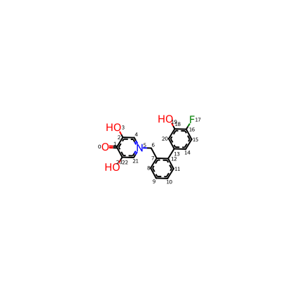 O=c1c(O)cn(Cc2ccccc2-c2ccc(F)c(O)c2)cc1O